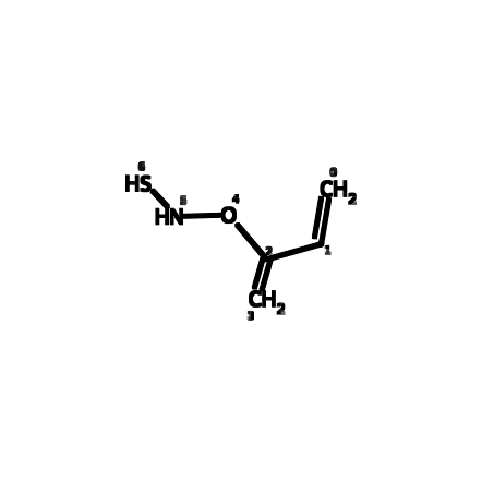 C=CC(=C)ONS